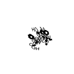 CCC[C@H](N[C@@H](C)C(=O)N1[C@H](C(=O)O)C[C@@H]2CCCC[C@@H]21)C(=O)OCC.O=C(O)COc1no[n+]([O-])c1S(=O)(=O)c1ccccc1